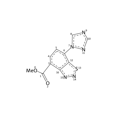 COC(=O)c1ccc(-n2cncn2)c2snnc12